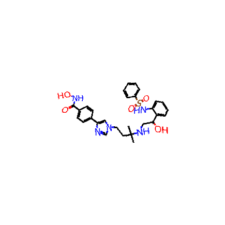 CC(C)(CCn1cnc(-c2ccc(C(=O)NO)cc2)c1)NCC(O)c1ccccc1NS(=O)(=O)c1ccccc1